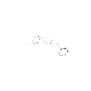 CC(C)(C)c1ccc(CNC(=O)CCc2ccccc2)cc1